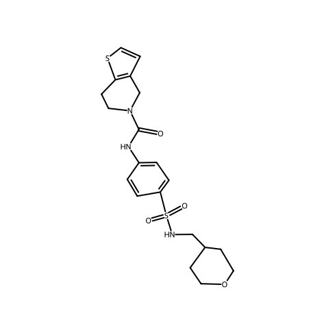 O=C(Nc1ccc(S(=O)(=O)NCC2CCOCC2)cc1)N1CCc2sccc2C1